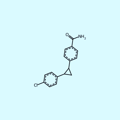 NC(=O)c1ccc(C2CC2c2ccc(Cl)cc2)cc1